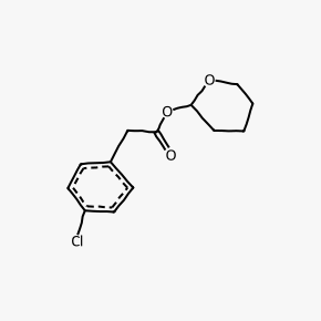 O=C(Cc1ccc(Cl)cc1)OC1CCCCO1